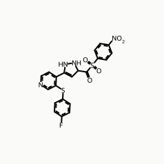 O=C(C1C=C(c2ccncc2Sc2ccc(F)cc2)NN1)S(=O)(=O)c1ccc([N+](=O)[O-])cc1